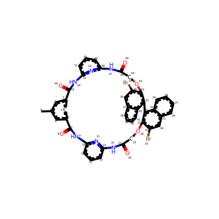 Cc1cc2cc(c1)C(=O)Nc1cccc(n1)NC(=O)COc1c(Br)cc3ccccc3c1-c1c(c(Br)cc3ccccc13)OCC(=O)Nc1cccc(n1)NC2=O